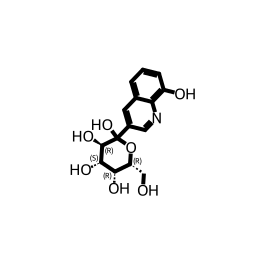 OC[C@H]1OC(O)(c2cnc3c(O)cccc3c2)[C@H](O)[C@@H](O)[C@H]1O